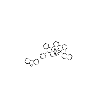 CC1(C)c2ccc3ccccc3c2-c2cccc(-c3cccc(-c4c5ccccc5c(-c5ccc(-c6ccc7oc8ccccc8c7c6)cc5)c5ccccc45)c3)c21